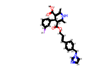 COC(=O)C1=C(C)NC(C)=C(C(=O)OC/C=C/c2ccc(Cn3ccnc3)cc2)C1c1cccc(I)c1